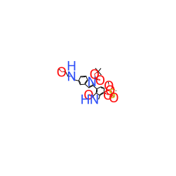 COCCNCc1ccc2c(c1)cc(-c1cc(OC)c(OS(C)(=O)=O)c3c1C(=O)NC3)n2C(=O)OC(C)(C)C